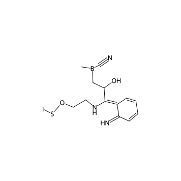 CB(C#N)CC(O)/C(NCCOSI)=C1\C=CC=CC1=N